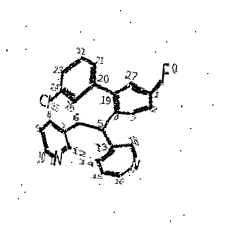 Fc1ccc(C(Cc2cccnc2)c2cccnc2)c(-c2cccc(Cl)c2)c1